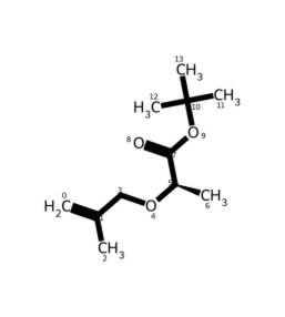 C=C(C)CO[C@H](C)C(=O)OC(C)(C)C